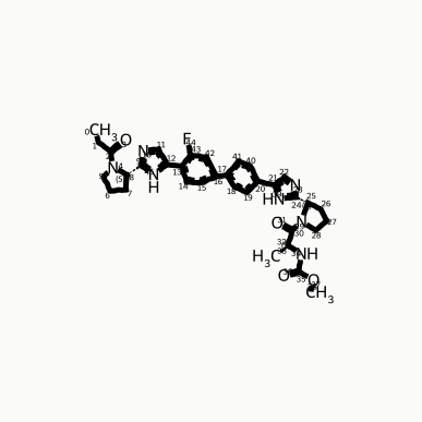 CCC(=O)N1CCC[C@H]1c1ncc(-c2ccc(-c3ccc(-c4cnc([C@@H]5CCCN5C(=O)[C@H](C)NC(=O)OC)[nH]4)cc3)cc2F)[nH]1